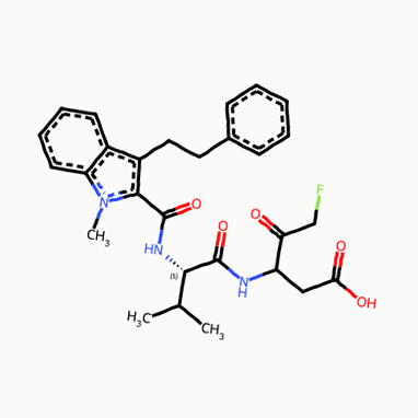 CC(C)[C@H](NC(=O)c1c(CCc2ccccc2)c2ccccc2n1C)C(=O)NC(CC(=O)O)C(=O)CF